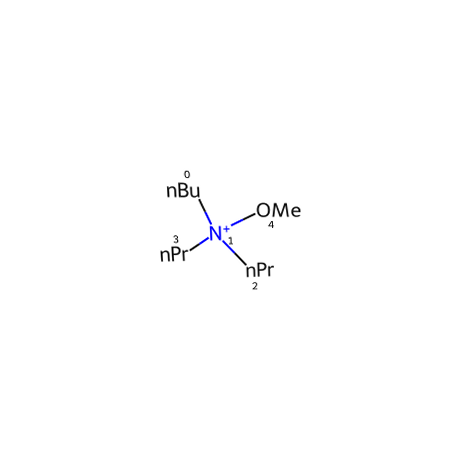 CCCC[N+](CCC)(CCC)OC